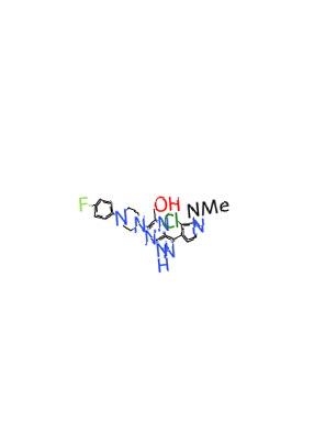 CNc1nccc(-c2n[nH]c3nc(N4CCN(c5ccc(F)cc5)CC4)c(CO)nc23)c1Cl